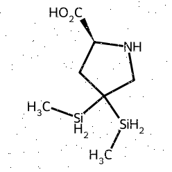 C[SiH2]C1([SiH2]C)CN[C@H](C(=O)O)C1